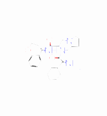 N[C@H](C(=O)N1CC2CCCN2CC1C(=O)N[C@@H]1CCOc2ccccc21)C1CCCCC1